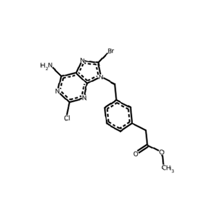 COC(=O)Cc1cccc(Cn2c(Br)nc3c(N)nc(Cl)nc32)c1